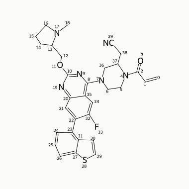 C=CC(=O)N1CCN(c2nc(OCC3CCCN3C)nc3cc(-c4cccc5sccc45)c(F)cc23)CC1CC#N